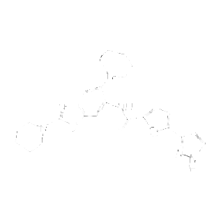 O=C(Nc1cc2oc(N3CCCCC3)nc2cc1N1CCCCC1)c1ccc(-c2cc[nH]n2)o1